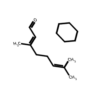 C1CCCCC1.CC(C)=CCCC(C)=CC=O